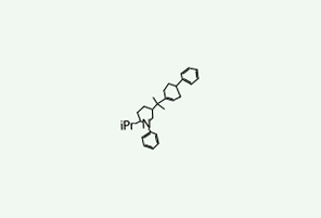 CC(C)C1CCC(C(C)(C)C2=CCC(c3ccccc3)CC2)CN1c1ccccc1